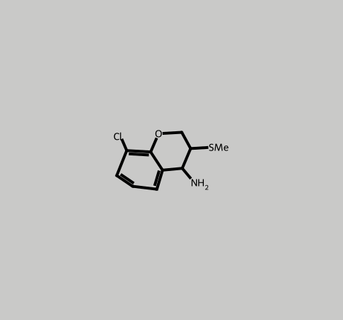 CSC1COc2c(Cl)cccc2C1N